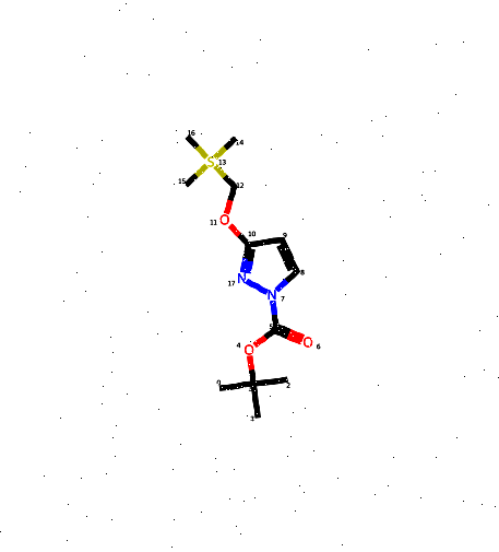 CC(C)(C)OC(=O)n1ccc(OCS(C)(C)C)n1